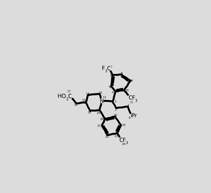 CC(C)CCC(c1cc(C(F)(F)F)ccc1C(F)(F)F)N1CCC(CC(=O)O)CC1c1ccc(C(F)(F)F)cc1